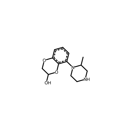 CC1CNCCN1c1cccc2c1OC(O)CO2